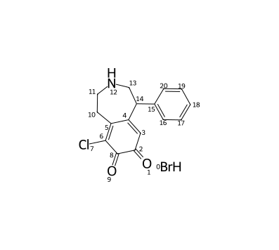 Br.O=C1C=C2C(=C(Cl)C1=O)CCNCC2c1ccccc1